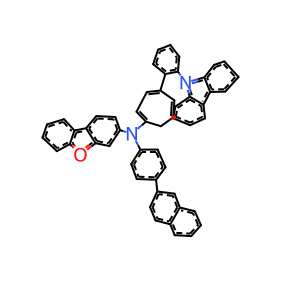 C1=CC(c2ccccc2-n2c3ccccc3c3ccccc32)=CC=C(N(c2ccc(-c3ccc4ccccc4c3)cc2)c2ccc3c(c2)oc2ccccc23)C1